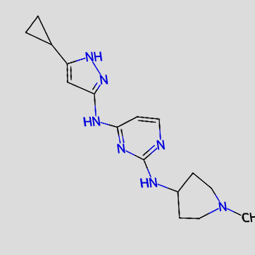 CN1CCC(Nc2nccc(Nc3cc(C4CC4)[nH]n3)n2)CC1